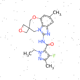 CCn1nc(C)c(F)c1C(=O)Nc1nc2cc(C)cc3c2n1CC1(COC1)CO3